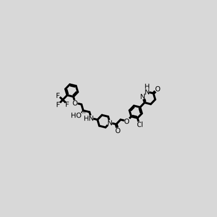 O=C1CCC(c2ccc(OCC(=O)N3CCC(NC[C@H](O)COc4ccccc4C(F)(F)F)CC3)c(Cl)c2)=NN1